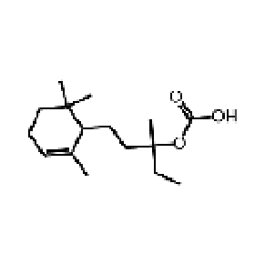 CCC(C)(CCC1C(C)=CCCC1(C)C)OC(=O)O